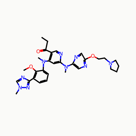 CCC(=O)c1cnc(N(C)c2cnc(OCCN3CCCC3)cn2)cc1N(C)c1cccc(-c2ncn(C)n2)c1OC